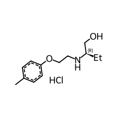 CC[C@H](CO)NCCOc1ccc(C)cc1.Cl